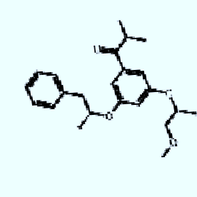 COC[C@H](C)Oc1cc(O[C@@H](C)Cc2ccccc2)cc(C(=O)C(C)C)c1